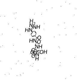 N=C(N)Nc1ccc(C(=O)NC(=O)CNC(=O)[C@]2(CO)NS2(=O)=O)cc1